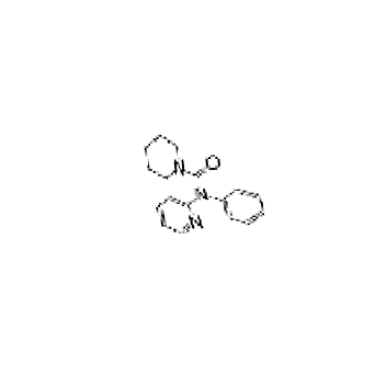 O=C(N1CCCCC1)N(c1ccccc1)c1ccccn1